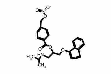 CC(C)NCC(COc1cccc2ccccc12)OC(=O)c1ccc(CO[N+](=O)[O-])cc1